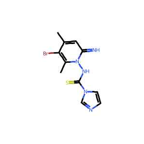 Cc1cc(=N)n(NC(=S)n2ccnc2)c(C)c1Br